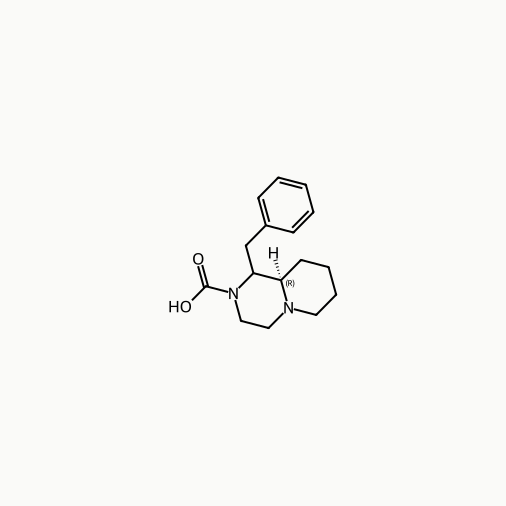 O=C(O)N1CCN2CCCC[C@@H]2C1Cc1ccccc1